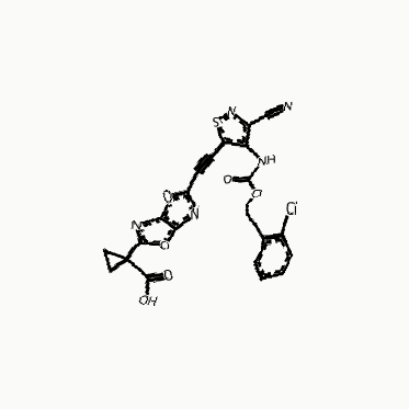 N#Cc1nsc(C#Cc2nc3oc(C4(C(=O)O)CC4)nc3o2)c1NC(=O)OCc1ccccc1Cl